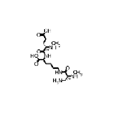 CN[C@@H](CN)C(=O)NCCCCC(NC(=O)[C@H](CCC(=O)O)NC)C(=O)O